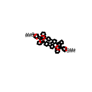 COc1ccc(-c2c3ccccc3c(-c3ccc4c(c3)[Si]3(c5cc(-c6c7ccccc7c(-c7ccc(OC)cc7)c7ccccc67)ccc5-4)c4cc(-c5c6ccccc6c(-c6ccc(OC)cc6)c6ccccc56)ccc4-c4ccc(-c5c6ccccc6c(-c6ccc(OC)cc6)c6ccccc56)cc43)c3ccccc23)cc1